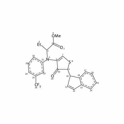 CCC(C(=O)OC)N(C1=CSC(C2C=Cc3ccccc32)C1=O)c1cccc(C(F)(F)F)c1